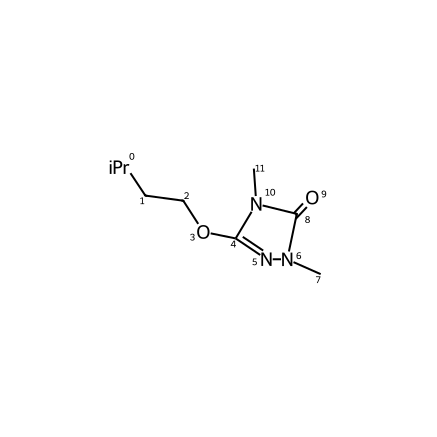 CC(C)CCOc1nn(C)c(=O)n1C